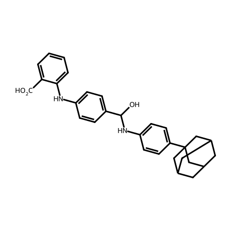 O=C(O)c1ccccc1Nc1ccc(C(O)Nc2ccc(C34CC5CC(CC(C5)C3)C4)cc2)cc1